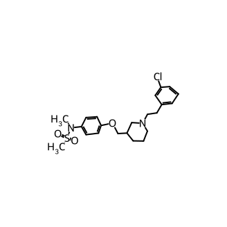 CN(c1ccc(OCC2CCCN(CCc3cccc(Cl)c3)C2)cc1)S(C)(=O)=O